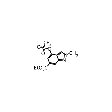 CCOC(=O)c1cc(OS(=O)(=O)C(F)(F)F)c2cn(C)nc2c1